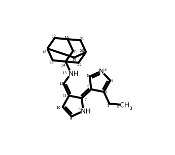 CCC1=CN=CC1=c1[nH]ccc1=CNC12CC3CC(CC(C3)C1)C2